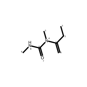 C=C(CC)N(C)C(=O)NC